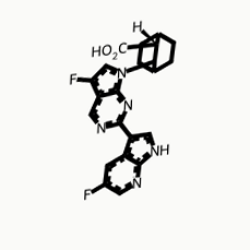 O=C(O)[C@@H]1C2CCC(CC2)C1n1cc(F)c2cnc(-c3c[nH]c4ncc(F)cc34)nc21